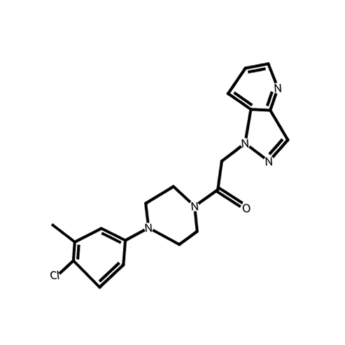 Cc1cc(N2CCN(C(=O)Cn3ncc4ncccc43)CC2)ccc1Cl